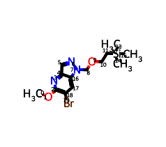 COc1nc2cnn(COCC[Si](C)(C)C)c2cc1Br